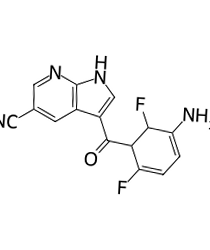 N#Cc1cnc2[nH]cc(C(=O)C3C(F)=CC=C(N)C3F)c2c1